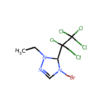 CCN1N=CN(Br)C1C(Cl)(Cl)C(Cl)(Cl)Cl